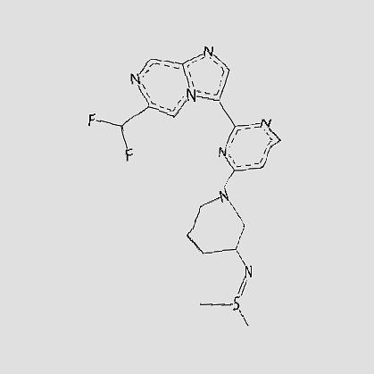 CS(C)=NC1CCCN(c2ccnc(-c3cnc4cnc(C(F)F)cn34)n2)C1